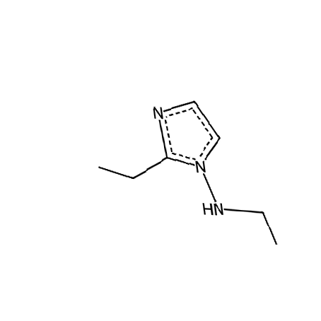 CCNn1ccnc1CC